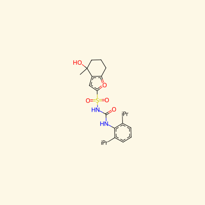 CC(C)c1cccc(C(C)C)c1NC(=O)NS(=O)(=O)c1cc2c(o1)CCCC2(C)O